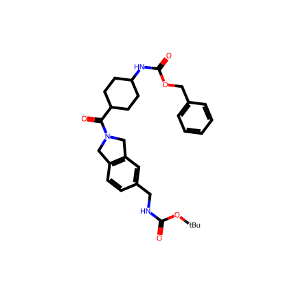 CC(C)(C)OC(=O)NCc1ccc2c(c1)CN(C(=O)C1CCC(NC(=O)OCc3ccccc3)CC1)C2